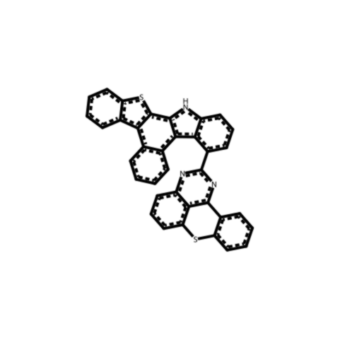 c1ccc2c(c1)Sc1cccc3nc(-c4cccc5[nH]c6c7sc8ccccc8c7c7ccccc7c6c45)nc-2c13